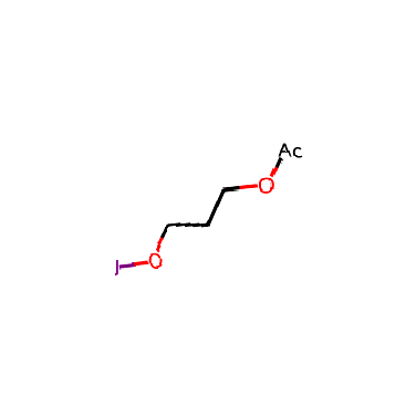 CC(=O)OCCCOI